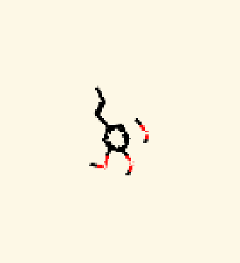 CC=Cc1ccc(OC)c(OC)c1.COC